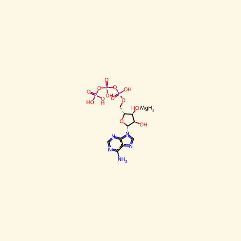 Nc1ncnc2c1ncn2[C@@H]1O[C@H](COP(=O)(O)OP(=O)(O)OP(=O)(O)O)[C@@H](O)[C@H]1O.[MgH2]